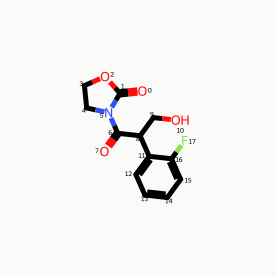 O=C1OCCN1C(=O)C(CO)c1ccccc1F